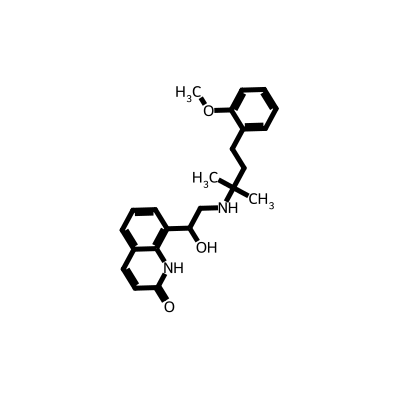 COc1ccccc1CCC(C)(C)NCC(O)c1cccc2ccc(=O)[nH]c12